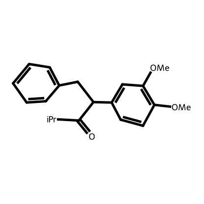 COc1ccc(C(Cc2ccccc2)C(=O)C(C)C)cc1OC